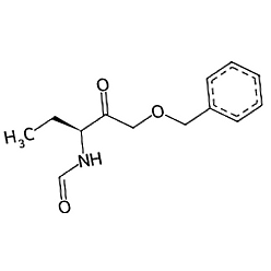 CC[C@H](NC=O)C(=O)COCc1ccccc1